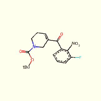 CC(C)(C)OC(=O)N1CCC=C(C(=O)c2cccc(F)c2[N+](=O)[O-])C1